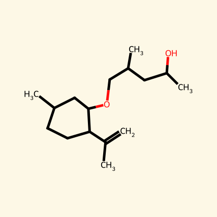 C=C(C)C1CCC(C)CC1OCC(C)CC(C)O